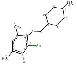 Cc1cc(C)c(CCC2CCC(C)CC2)c(F)c1F